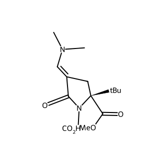 COC(=O)[C@@]1(C(C)(C)C)C/C(=C\N(C)C)C(=O)N1C(=O)O